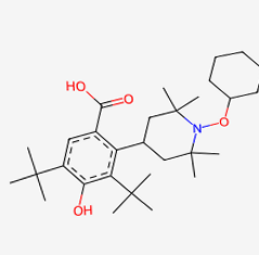 CC(C)(C)c1cc(C(=O)O)c(C2CC(C)(C)N(OC3CCCCC3)C(C)(C)C2)c(C(C)(C)C)c1O